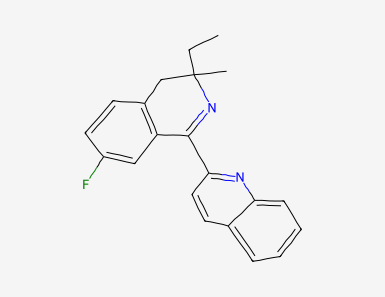 CCC1(C)Cc2ccc(F)cc2C(c2ccc3ccccc3n2)=N1